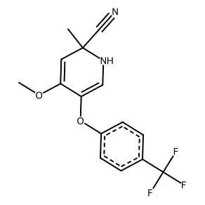 COC1=CC(C)(C#N)NC=C1Oc1ccc(C(F)(F)F)cc1